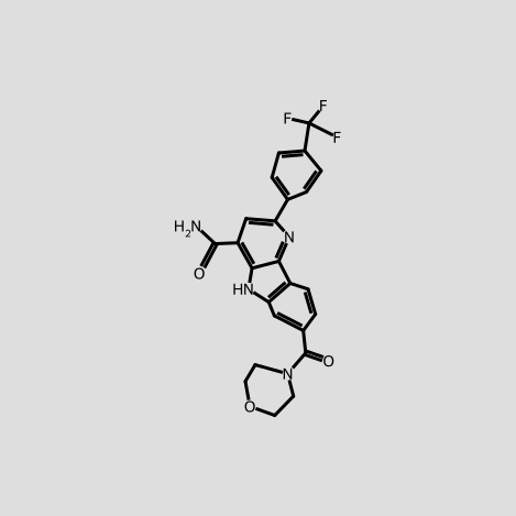 NC(=O)c1cc(-c2ccc(C(F)(F)F)cc2)nc2c1[nH]c1cc(C(=O)N3CCOCC3)ccc12